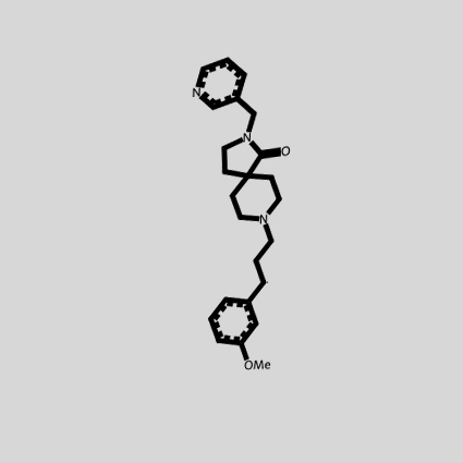 COc1cccc([CH]CCN2CCC3(CC2)CCN(Cc2cccnc2)C3=O)c1